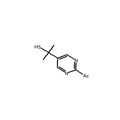 CC(=O)c1ncc(C(C)(C)S)cn1